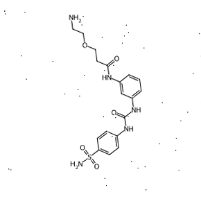 NCCOCCC(=O)Nc1cccc(NC(=O)Nc2ccc(S(N)(=O)=O)cc2)c1